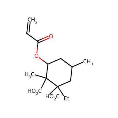 C=CC(=O)OC1CC(C)CC(CC)(C(=O)O)C1(C)C(=O)O